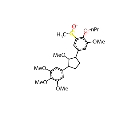 CCCOc1c(OC)cc(C2CCC(c3cc(OC)c(OC)c(OC)c3)C2OC)cc1[S+](C)[O-]